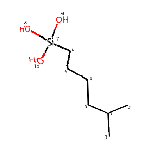 CC(C)CCCC[Si](O)(O)O